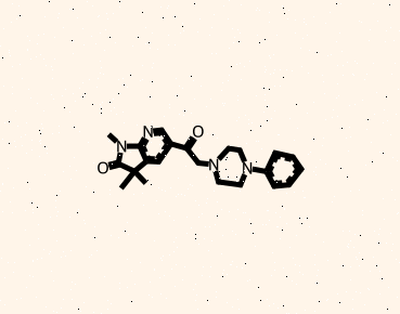 CN1C(=O)C(C)(C)c2cc(C(=O)CN3CCN(c4ccccc4)CC3)cnc21